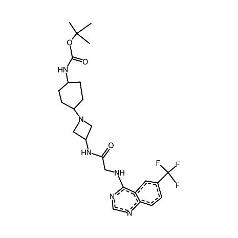 CC(C)(C)OC(=O)NC1CCC(N2CC(NC(=O)CNc3ncnc4ccc(C(F)(F)F)cc34)C2)CC1